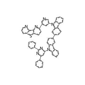 c1ccc(-c2cc(-n3c4ccccc4c4cc(-c5ccc6c7ccccc7n(-c7cncc(-c8ccc9sc%10cccnc%10c9n8)c7)c6c5)ccc43)nc(-c3ccccc3)n2)cc1